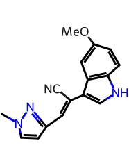 COc1ccc2[nH]cc(/C(C#N)=C/c3ccn(C)n3)c2c1